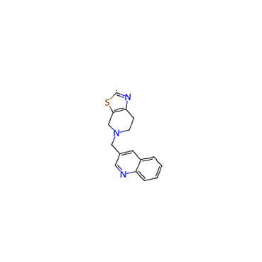 [c]1nc2c(s1)CN(Cc1cnc3ccccc3c1)CC2